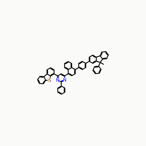 CC1(c2ccccc2)c2ccccc2-c2ccc(-c3ccc(-c4ccc(-c5cc(-c6cccc7c6sc6ccccc67)nc(-c6ccccc6)n5)c5ccccc45)cc3)cc21